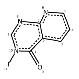 O=c1c2cccnc2ncn1I